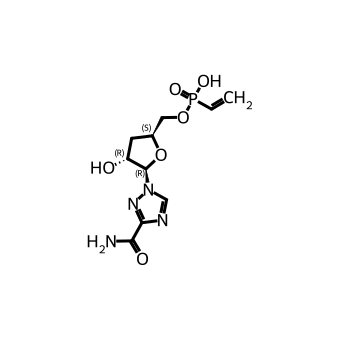 C=CP(=O)(O)OC[C@@H]1C[C@@H](O)[C@H](n2cnc(C(N)=O)n2)O1